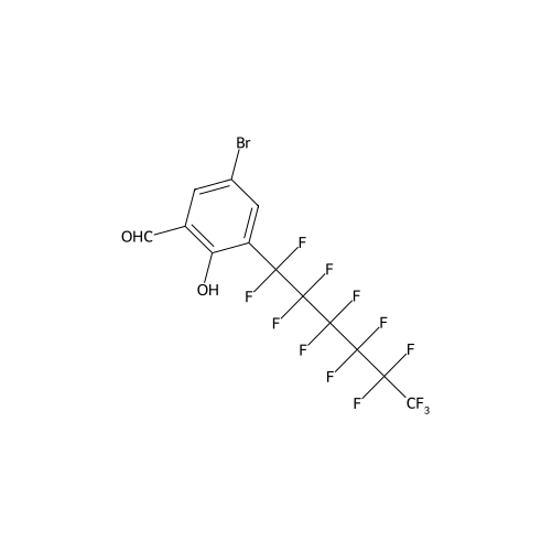 O=Cc1cc(Br)cc(C(F)(F)C(F)(F)C(F)(F)C(F)(F)C(F)(F)C(F)(F)F)c1O